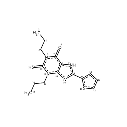 CCCn1c(=O)c2[nH]c(-c3cccs3)nc2n(CCC)c1=S